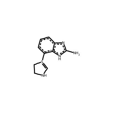 Nc1nc2cccc(S3=CNCC3)c2[nH]1